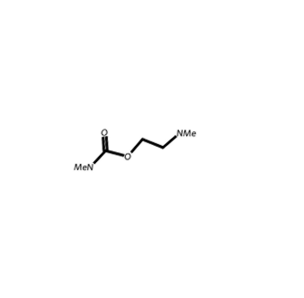 CNCCOC(=O)NC